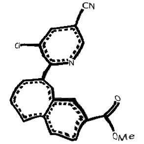 COC(=O)c1ccc2cccc(-c3ncc(C#N)cc3Cl)c2c1